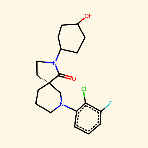 O=C1N(C2CCC(O)CC2)CC[C@]12CCCN(c1cccc(F)c1Cl)C2